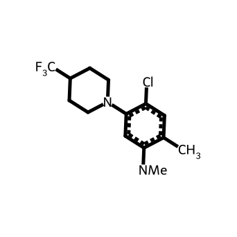 CNc1cc(N2CCC(C(F)(F)F)CC2)c(Cl)cc1C